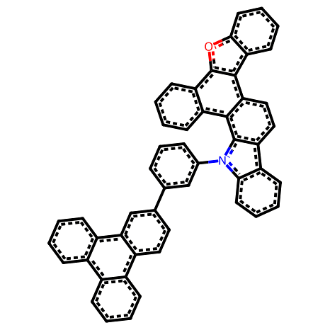 c1cc(-c2ccc3c4ccccc4c4ccccc4c3c2)cc(-n2c3ccccc3c3ccc4c5c6ccccc6oc5c5ccccc5c4c32)c1